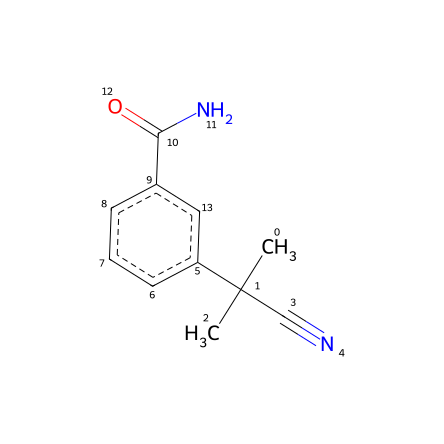 CC(C)(C#N)c1cccc(C(N)=O)c1